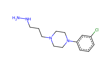 NNCCCN1CCN(c2cccc(Cl)c2)CC1